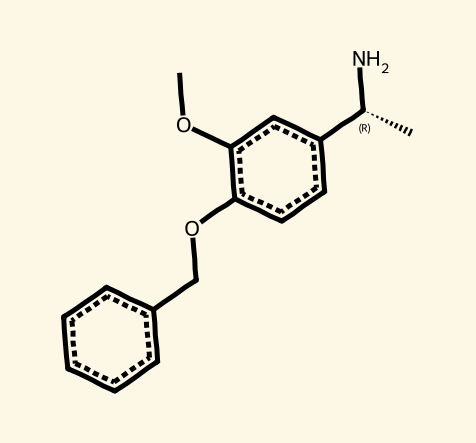 COc1cc([C@@H](C)N)ccc1OCc1ccccc1